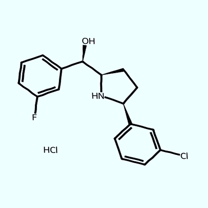 Cl.O[C@H](c1cccc(F)c1)[C@H]1CC[C@@H](c2cccc(Cl)c2)N1